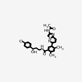 CC(=O)Nc1cn2nc(-c3cc(C(=O)NCC[C@@H](O)c4ccc(Cl)cc4)c(C)cc3C)ccc2n1